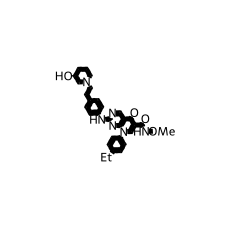 CCc1ccc(-n2cc(C(=O)NOC)c(=O)c3cnc(Nc4ccc(CCN5CCC[C@@H](O)C5)cc4)nc32)cc1